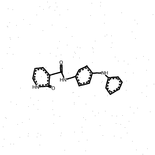 O=C(Nc1ccc(Nc2ccccc2)cc1)c1ccc[nH]c1=O